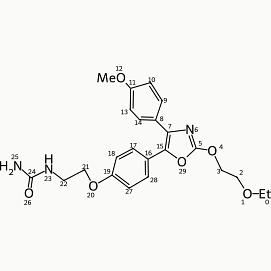 CCOCCOc1nc(-c2ccc(OC)cc2)c(-c2ccc(OCCNC(N)=O)cc2)o1